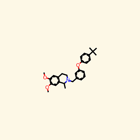 COc1cc2c(cc1OC)C(C)N(Cc1cccc(Oc3ccc(C(C)(C)C)cc3)c1)CC2